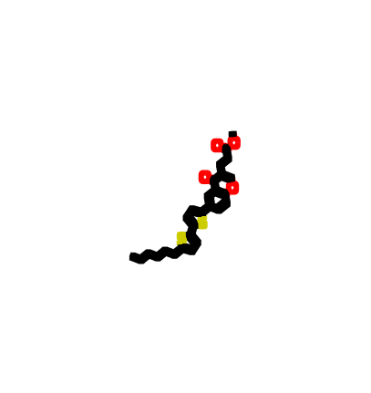 CCCCCCc1ccc(-c2ccc(-c3ccc4occ(CCC(=O)OC)c(=O)c4c3)s2)s1